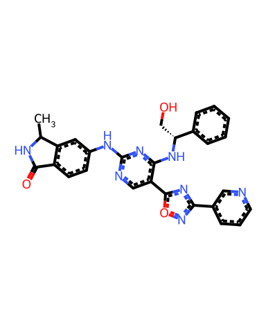 CC1NC(=O)c2ccc(Nc3ncc(-c4nc(-c5cccnc5)no4)c(N[C@H](CO)c4ccccc4)n3)cc21